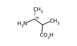 CC(C(=O)O)[C@@H](C)N